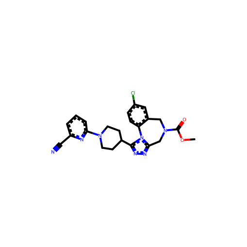 COC(=O)N1Cc2cc(Cl)ccc2-n2c(nnc2C2CCN(c3cccc(C#N)n3)CC2)C1